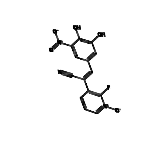 N#CC(=Cc1cc(O)c(O)c([N+](=O)[O-])c1)c1ccc[n+]([O-])c1F